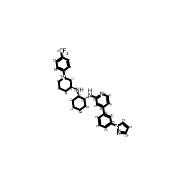 FC(F)(F)c1ccc(N2CCC[C@H](N[C@@H]3CCCC[C@H]3Nc3cc(-c4cccc(-n5cccn5)c4)ccn3)C2)cc1